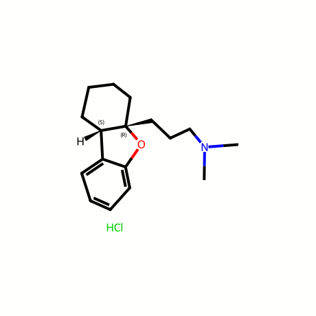 CN(C)CCC[C@]12CCCC[C@H]1c1ccccc1O2.Cl